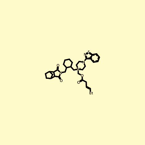 CC/C=C/CC(=O)OC[N+]1(CC2CCCCC2CN2C(=O)C3C4CCC(C4)C3C2=O)CCN(c2nsc3ccccc23)CC1